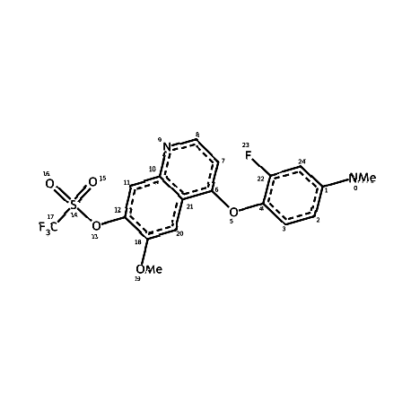 CNc1ccc(Oc2ccnc3cc(OS(=O)(=O)C(F)(F)F)c(OC)cc23)c(F)c1